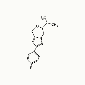 CC(C)C1Cn2nc(-c3ccc(F)cn3)cc2CO1